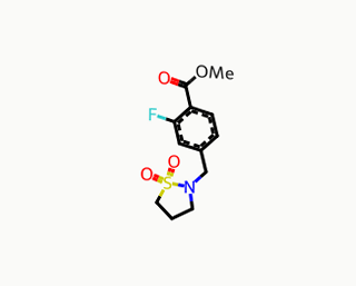 COC(=O)c1ccc(CN2CCCS2(=O)=O)cc1F